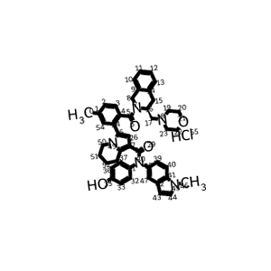 Cc1ccc(C(=O)N2Cc3ccccc3C[C@H]2CN2CCOCC2)c(-c2cc(C(=O)N(c3ccc(O)cc3)c3ccc4c(ccn4C)c3)c3n2CCCC3)c1.Cl